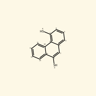 Sc1cc2cccc(S)c2c2ccccc12